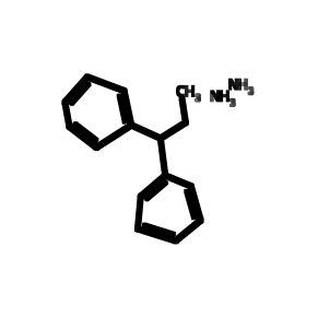 CCC(c1ccccc1)c1ccccc1.N.N